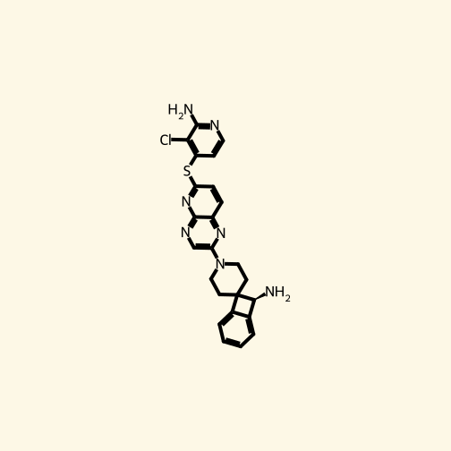 Nc1nccc(Sc2ccc3nc(N4CCC5(CC4)c4ccccc4[C@@H]5N)cnc3n2)c1Cl